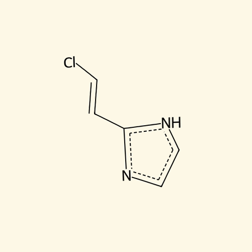 ClC=Cc1ncc[nH]1